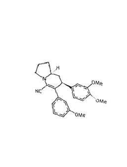 COc1cccc(C2=C(C#N)N3CCC[C@H]3C[C@H]2c2ccc(OC)c(OC)c2)c1